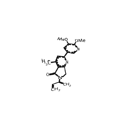 C=CC(=C)N1Cc2nc(-c3cnc(OC)c(OC)c3)cc(C)c2C1=O